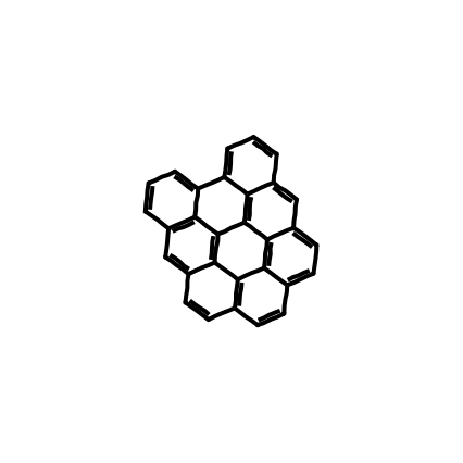 c1cc2cc3ccc4ccc5ccc6cc7cccc8c(c1)c2c1c3c4c5c6c1c78